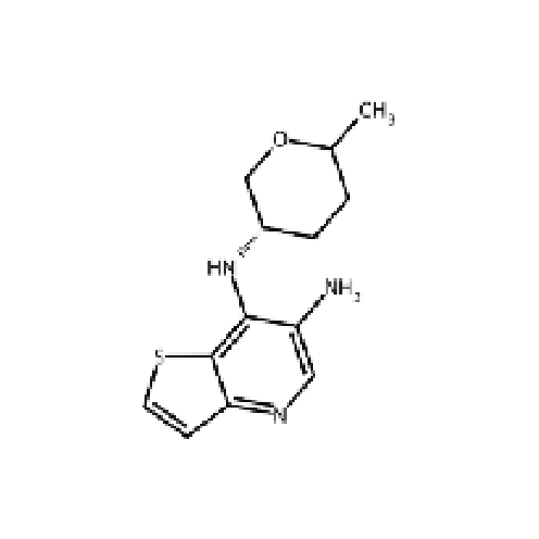 CC1CC[C@H](Nc2c(N)cnc3ccsc23)CO1